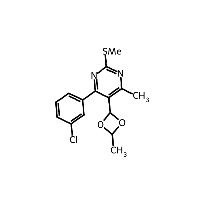 CSc1nc(C)c(C2OC(C)O2)c(-c2cccc(Cl)c2)n1